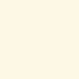 CCC(=O)Nc1ccnc(-c2nc(Nc3ccc(NC4CN(CCF)C4)cc3)nc3cnccc23)c1